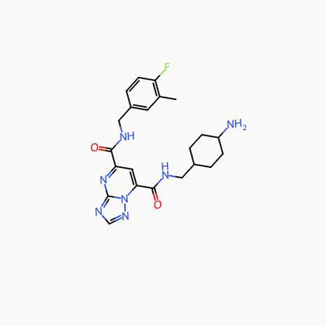 Cc1cc(CNC(=O)c2cc(C(=O)NCC3CCC(N)CC3)n3ncnc3n2)ccc1F